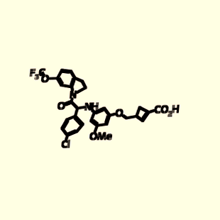 COc1cc(NC(C(=O)N2CCc3ccc(OC(F)(F)F)cc32)c2ccc(Cl)cc2)cc(OCC2C=C(C(=O)O)C2)c1